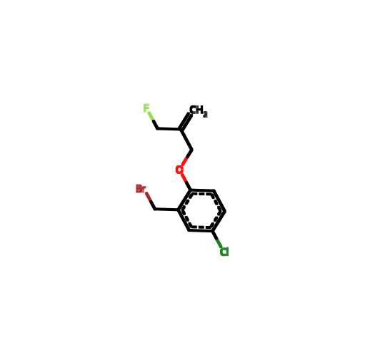 C=C(CF)COc1ccc(Cl)cc1CBr